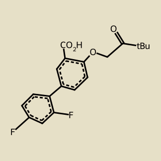 CC(C)(C)C(=O)COc1ccc(-c2ccc(F)cc2F)cc1C(=O)O